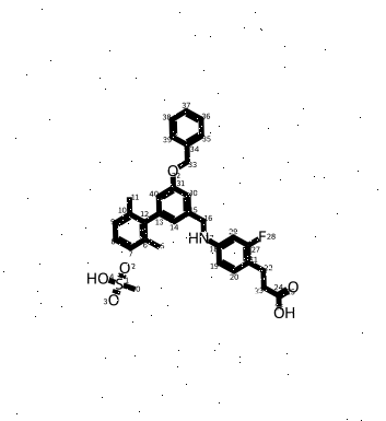 CS(=O)(=O)O.Cc1cccc(C)c1-c1cc(CNc2ccc(CCC(=O)O)c(F)c2)cc(OCc2ccccc2)c1